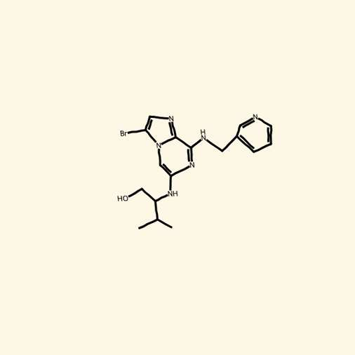 CC(C)C(CO)Nc1cn2c(Br)cnc2c(NCc2cccnc2)n1